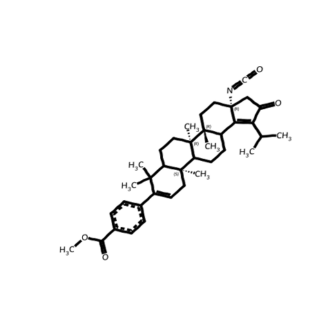 COC(=O)c1ccc(C2=CC[C@@]3(C)C(CC[C@]4(C)C3CCC3C5=C(C(C)C)C(=O)C[C@]5(N=C=O)CC[C@]34C)C2(C)C)cc1